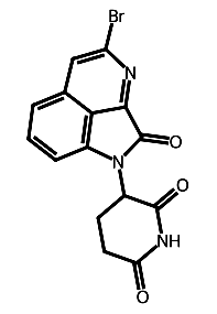 O=C1CCC(N2C(=O)c3nc(Br)cc4cccc2c34)C(=O)N1